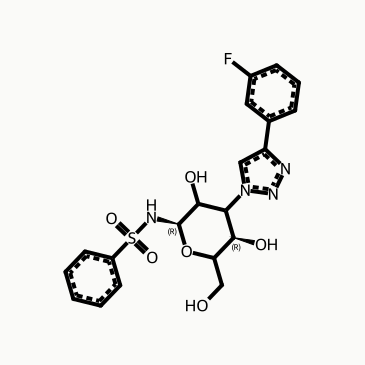 O=S(=O)(N[C@@H]1OC(CO)[C@H](O)C(n2cc(-c3cccc(F)c3)nn2)C1O)c1ccccc1